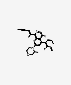 C=C/C(F)=C(\C=C/C)c1cc(N2CCOCC2C)nc2c(/C(C)=C/C#CC)ncc(F)c12